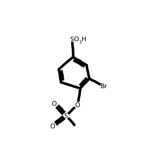 CS(=O)(=O)Oc1ccc(S(=O)(=O)O)cc1Br